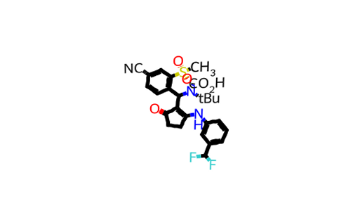 CC(C)(C)N(C(=O)O)C(C1=C(Nc2cccc(C(F)F)c2)CCC1=O)c1ccc(C#N)cc1S(C)(=O)=O